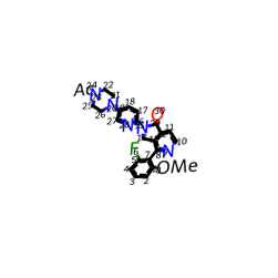 COc1cccc(F)c1-c1nccc2c1CN(c1ccc(N3CCN(C(C)=O)CC3)cn1)C2=O